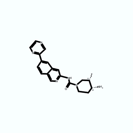 N[C@@H]1CCN(C(=O)Nc2cc3cc(-c4cnccn4)ccc3cn2)C[C@@H]1F